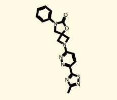 Cc1nsc(-c2ccc(N3CC4(C3)CN(c3ccccc3)C(=O)O4)nn2)n1